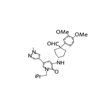 COc1ccc([C@]2(C=O)CC[C@H](Nc3cc(-c4cnn(C)c4)cn(CC(C)C)c3=O)CC2)cc1OC